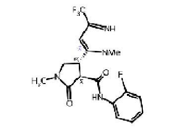 CN/C(=C\C(=N)C(F)(F)F)[C@H]1CN(C)C(=O)[C@@H]1C(=O)Nc1ccccc1F